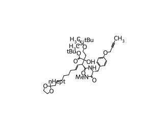 CC#CCOc1ccc(C[C@H](NC(=O)[C@@H](/C=C/CCCCCCC2(CCCCCCC)OCCO2)[C@@](O)(CCO[Si](C)(C)C(C)(C)C)C(=O)OC(C)(C)C)C(=O)NC)cc1